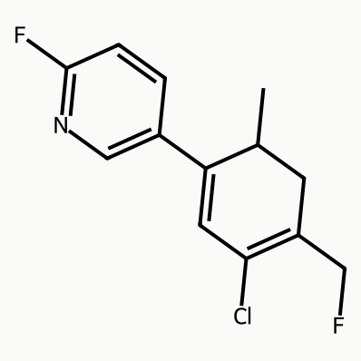 CC1CC(CF)=C(Cl)C=C1c1ccc(F)nc1